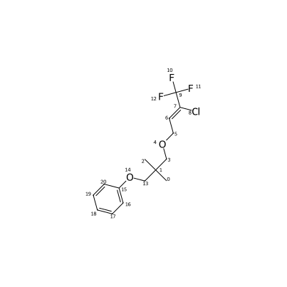 CC(C)(COCC=C(Cl)C(F)(F)F)COc1ccccc1